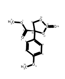 COC(=O)[C@@]1(c2ccc(OC)cc2)COS(=O)O1